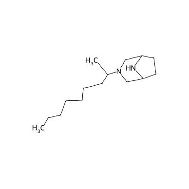 CCCCCCCC(C)N1CC2CCC(C1)N2